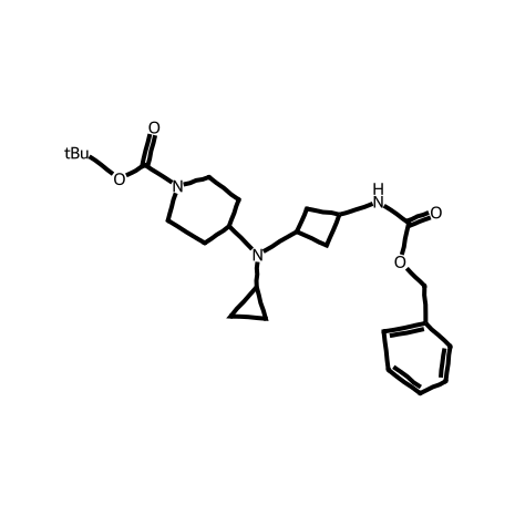 CC(C)(C)OC(=O)N1CCC(N(C2CC2)C2CC(NC(=O)OCc3ccccc3)C2)CC1